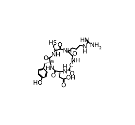 N=C(N)NCCC[C@@H]1NC(=O)[C@H](CS)NC(=O)[C@@H](Cc2ccc(O)cc2)NC(=O)[C@H](CC(=O)O)NC(=O)CNC1=O